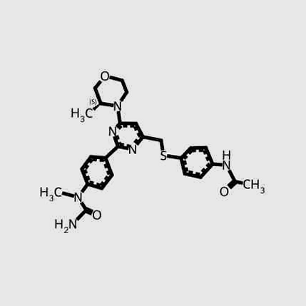 CC(=O)Nc1ccc(SCc2cc(N3CCOC[C@@H]3C)nc(-c3ccc(N(C)C(N)=O)cc3)n2)cc1